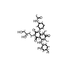 CC(=O)Nc1cccc(-n2c(=O)n(CC[C@H](O)CO)c(=O)c3c(Nc4ccc(I)cc4F)n(C)c(=O)c(C)c32)c1